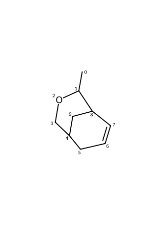 CC1OCC2CC=CC1C2